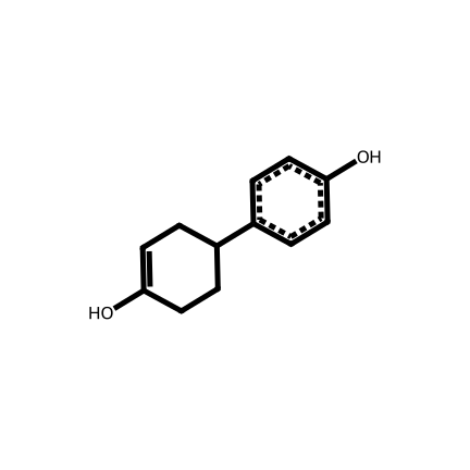 OC1=CCC(c2ccc(O)cc2)CC1